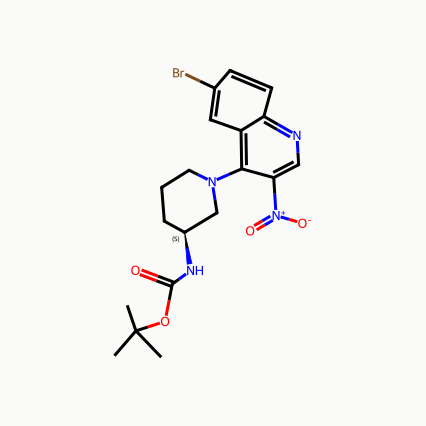 CC(C)(C)OC(=O)N[C@H]1CCCN(c2c([N+](=O)[O-])cnc3ccc(Br)cc23)C1